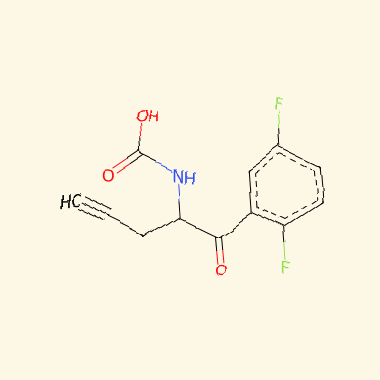 C#CCC(NC(=O)O)C(=O)c1cc(F)ccc1F